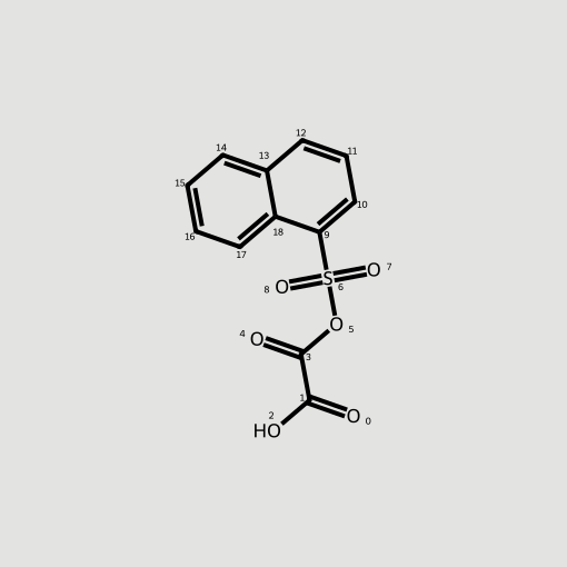 O=C(O)C(=O)OS(=O)(=O)c1cccc2ccccc12